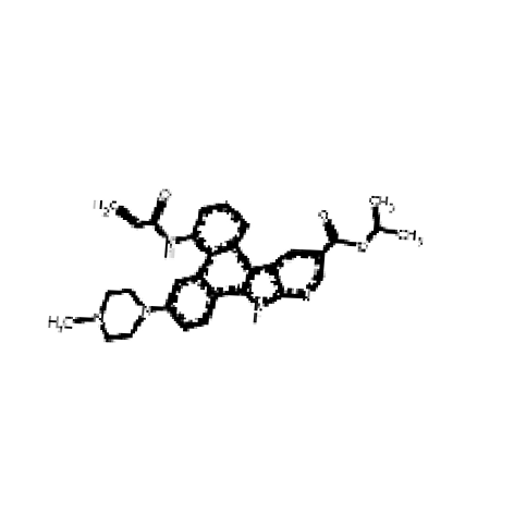 C=CC(=O)Nc1cccc2c1c1cc(N3CCN(C)CC3)ccc1c1[nH]c3ncc(C(=O)OC(C)C)cc3c21